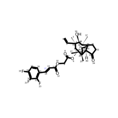 C=C[C@]1(C)C[C@@H](OC(=O)COC(=O)/C=C/c2ccc(F)c(F)c2F)[C@]2(C)[C@H](C)CC[C@]3(CCC(=O)[C@H]32)[C@@H](C)[C@@H]1O